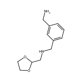 NCc1cccc(CNCC2OCCO2)c1